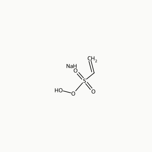 C=CS(=O)(=O)OO.[NaH]